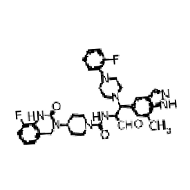 Cc1cc(C(C(C=O)NC(=O)N2CCC(N3Cc4cccc(F)c4NC3=O)CC2)N2CCN(c3ccccc3F)CC2)cc2cn[nH]c12